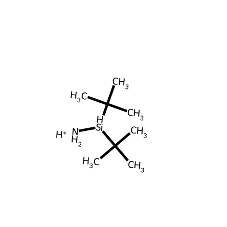 CC(C)(C)[SiH](N)C(C)(C)C.[H+]